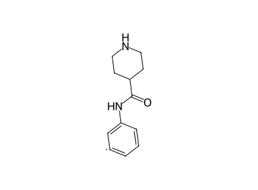 O=C(Nc1c[c]ccc1)C1CCNCC1